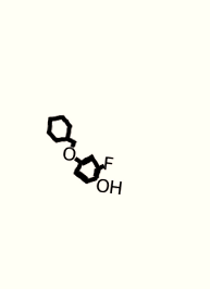 Oc1ccc(OCC2CCCCC2)cc1F